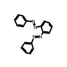 c1ccc(N=Nc2ccccc2N=Nc2ccccc2)cc1